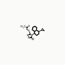 CC(=O)CSc1nnc(Br)n1-c1ccc(C2CC2)c2ccccc12